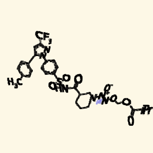 Cc1ccc(-c2cc(C(F)(F)F)nn2-c2ccc(S(=O)(=O)NC(=O)C3CCCN(/[N+]([O-])=N/OCOC(=O)C(C)C)C3)cc2)cc1